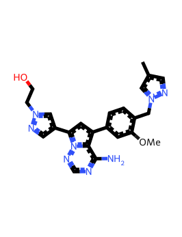 COc1cc(-c2cc(-c3cnn(CCO)c3)n3ncnc(N)c23)ccc1Cn1cc(C)cn1